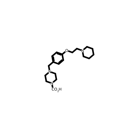 O=C(O)N1CCN(Cc2ccc(OCCN3CCCCC3)cc2)CC1